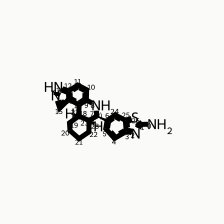 Nc1nc2ccc([C@@H]3Nc4ccc5[nH]ncc5c4[C@H]4CCCC[C@H]43)cc2s1